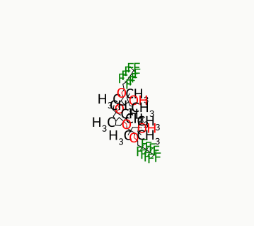 CCC(O)(CC)CC(C)(COCCC(F)(F)C(F)(F)C(F)(F)C(F)(F)F)COC(CC)(CC)CC1(C)CCC(CC)(OCC(C)(COCCC(F)(F)C(F)(F)C(F)(F)C(F)(F)F)CC(O)(CC)CC)C1